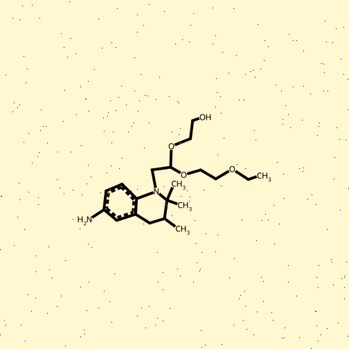 CCOCCOC(CN1c2ccc(N)cc2CC(C)C1(C)C)OCCO